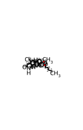 CCCCCC(=O)O[C@]1(C(C)=O)CC[C@H]2[C@@H]3C=C(Cl)C4=CC(=O)NC[C@]4(C)[C@H]3CC[C@@]21C